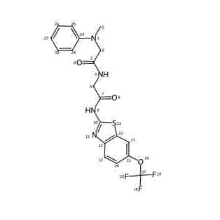 CN(CC(=O)NCC(=O)Nc1nc2ccc(OC(F)(F)F)cc2s1)c1ccccc1